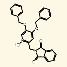 O=C1c2ccccc2C(=O)N1Cc1cc(OCc2ccccc2)c(OCc2ccccc2)c[n+]1O